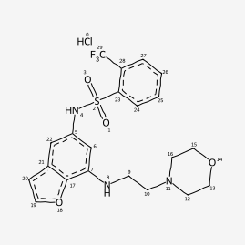 Cl.O=S(=O)(Nc1cc(NCCN2CCOCC2)c2occc2c1)c1ccccc1C(F)(F)F